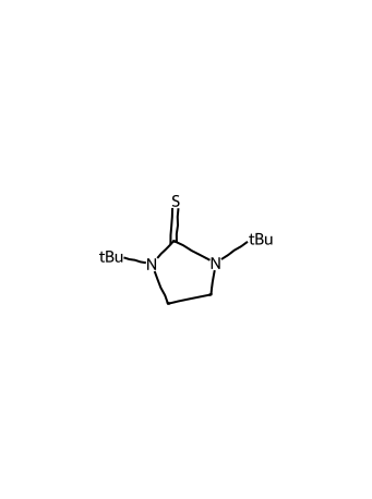 CC(C)(C)N1CCN(C(C)(C)C)C1=S